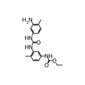 CCOC(=O)Nc1ccc(C)c(NC(=O)Nc2ccc(C)c(N)c2)c1